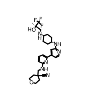 C[C@@](O)(CN[C@H]1CC[C@H](Nc2cc(-c3cccc(NCC4(C#N)CCOCC4)n3)ccn2)CC1)C(F)(F)F